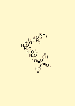 O.O.O.O.O.O.O.O=S(=O)(O)O.[BiH3]